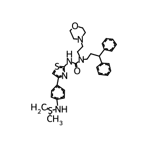 C=S(C)Nc1ccc(-c2csc(NC(=O)N(CCC(c3ccccc3)c3ccccc3)CCN3CCOCC3)n2)cc1